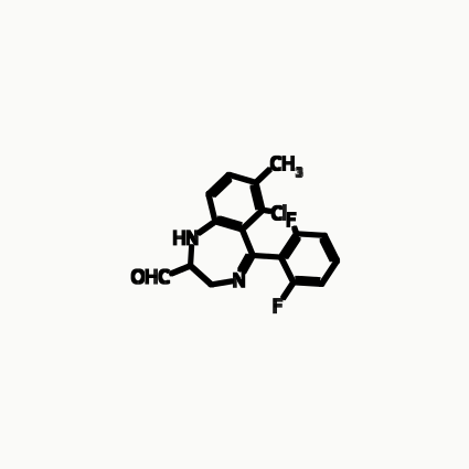 Cc1ccc2c(c1Cl)C(c1c(F)cccc1F)=NCC(C=O)N2